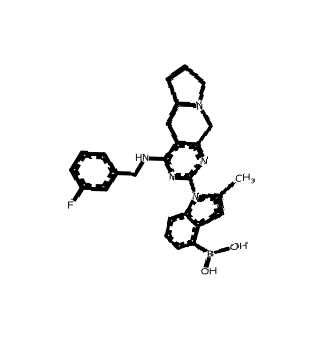 Cc1cc2c(B(O)O)cccc2n1-c1nc2c(c(NCc3cccc(F)c3)n1)CC1CCCN1C2